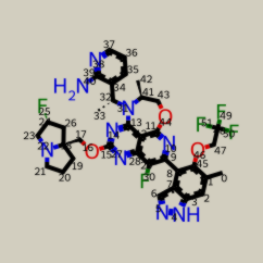 Cc1cc2[nH]ncc2c(-c2nc3c4c(nc(OC[C@@]56CCCN5C[C@H](F)C6)nc4c2F)N([C@H](C)c2cccnc2N)[C@@H](C)CO3)c1OCC(F)(F)F